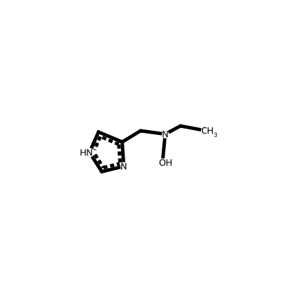 CCN(O)Cc1c[nH]cn1